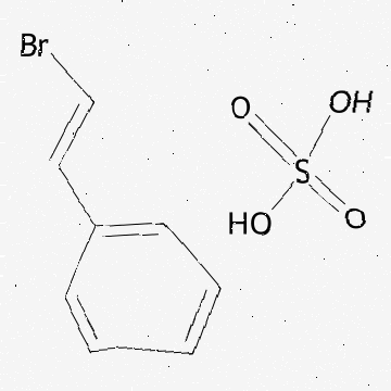 BrC=Cc1ccccc1.O=S(=O)(O)O